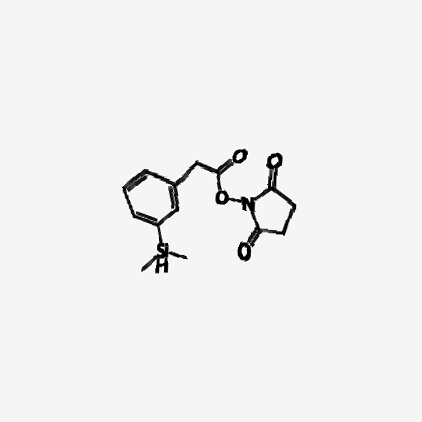 C[SiH](C)c1cccc(CC(=O)ON2C(=O)CCC2=O)c1